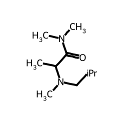 CC(C)CN(C)C(C)C(=O)N(C)C